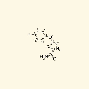 Cc1ccc(Oc2cnc(C(N)=O)s2)cc1